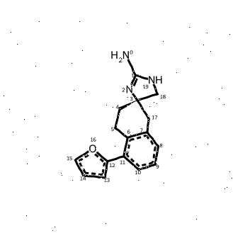 NC1=N[C@]2(CCc3c(cccc3-c3ccco3)C2)CN1